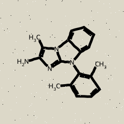 Cc1cccc(C)c1-n1c2ccccc2n2c(C)c(N)nc12